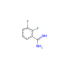 N=C(N)c1cccc(F)c1F